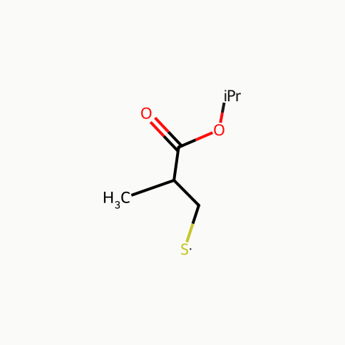 CC(C)OC(=O)C(C)C[S]